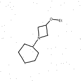 CCOC1CN(C2CCCCC2)C1